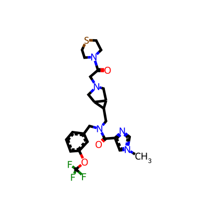 Cn1cnc(C(=O)N(Cc2cccc(OC(F)(F)F)c2)CC2C3CN(CC(=O)N4CCSCC4)CC32)c1